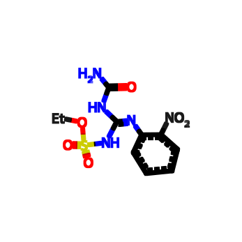 CCOS(=O)(=O)NC(=Nc1ccccc1[N+](=O)[O-])NC(N)=O